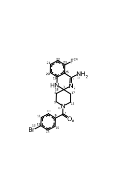 NC1=NC2(CCN(C(=O)c3ccc(Br)cc3)CC2)Nc2cccc(F)c21